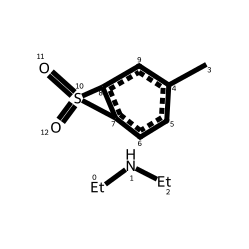 CCNCC.Cc1ccc2c(c1)S2(=O)=O